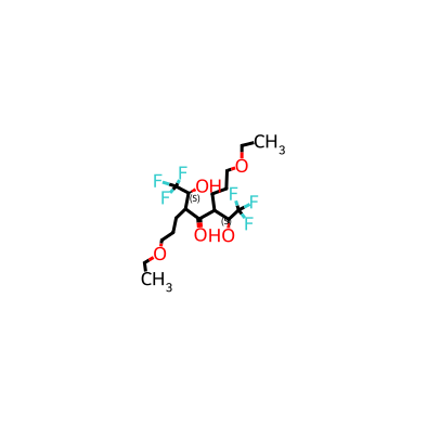 CCOCCCC(C(=O)C(CCCOCC)[C@H](O)C(F)(F)F)[C@H](O)C(F)(F)F